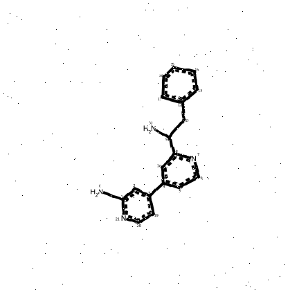 Nc1cc(-c2ccnc(C(N)Cc3ccccc3)c2)ccn1